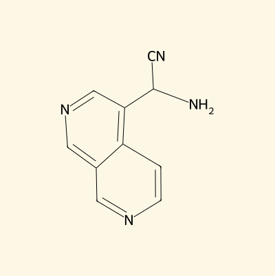 N#CC(N)c1cncc2cnccc12